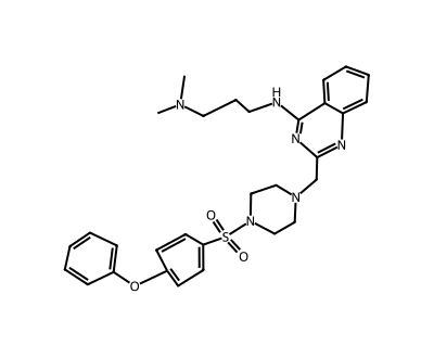 CN(C)CCCNc1nc(CN2CCN(S(=O)(=O)c3ccc(Oc4ccccc4)cc3)CC2)nc2ccccc12